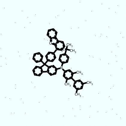 Cc1cc(C)cc(-c2c(C)cc(N(c3ccc(C(C)(C)C)cc3)c3ccc4c(c3)C(c3ccccc3)(c3ccc(-c5cccc6c5oc5ccccc56)cc3)c3ccccc3-4)cc2C)c1